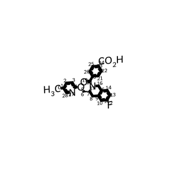 Cc1ccc(OC[C@@H]2Cc3cc(F)ccc3CN2C(=O)c2ccc(C(=O)O)cc2)nc1